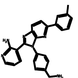 Cc1cccc(-c2ccc3nc(-c4cccnc4N)n(-c4ccc(CN)cc4)c3n2)c1